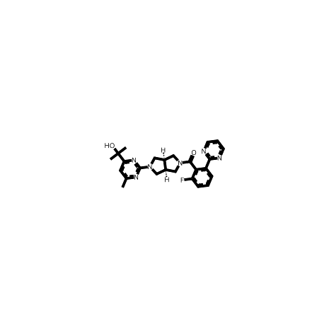 Cc1cc(C(C)(C)O)nc(N2C[C@H]3CN(C(=O)c4c(F)cccc4-c4ncccn4)C[C@H]3C2)n1